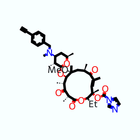 C#Cc1ccc(CN(C)[C@H]2C[C@@H](C)O[C@@H](O[C@@H]3[C@@H](C)C(=O)[C@@H](C)C(=O)O[C@H](CC)[C@@](C)(OC(=O)n4ccnc4)/C=C(\C)C(=O)[C@H](C)C[C@@]3(C)OC)[C@@H]2C)cc1